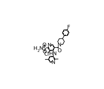 Cc1cnc(C)c(Nc2c(C(=O)N3CCC(c4ccc(F)cc4)CC3)cnc(S(N)(=O)=O)c2Cl)c1